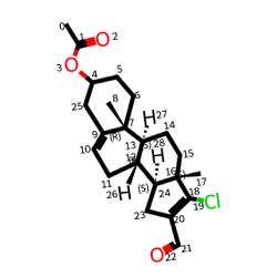 CC(=O)OC1CC[C@@]2(C)C(=CC[C@@H]3[C@@H]2CC[C@]2(C)C(Cl)=C(C=O)C[C@@H]32)C1